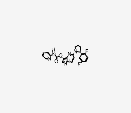 O=C(Nc1ccccn1)Oc1cnn2ccc(N3CCC[C@@H]3c3cc(F)ccc3F)nc12